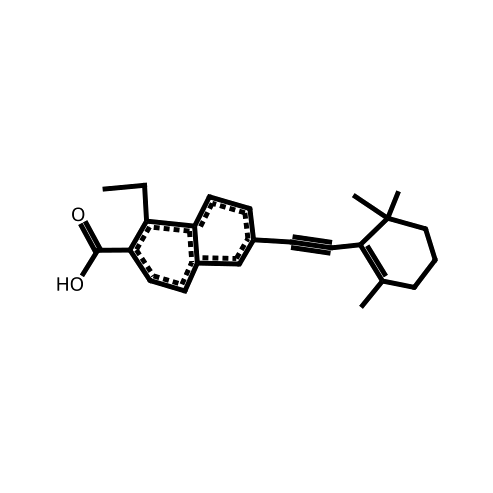 CCc1c(C(=O)O)ccc2cc(C#CC3=C(C)CCCC3(C)C)ccc12